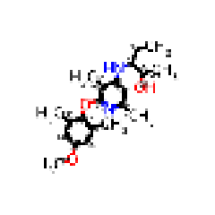 CCC(Nc1cc(C)nc(Oc2c(C)cc(OC)cc2C)c1C)C(C)O